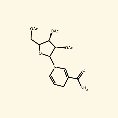 CC(=O)OCC1OC(N2C=CCC(C(N)=O)=C2)[C@H](OC(C)=O)[C@@H]1OC(C)=O